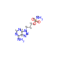 Nc1ncnc2c1nnn2CCCOS(N)(=O)=O